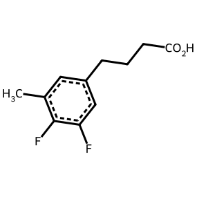 Cc1cc(CCCC(=O)O)cc(F)c1F